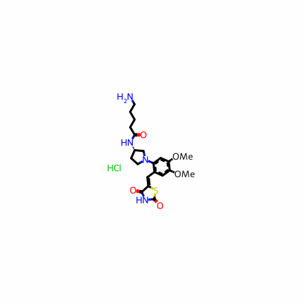 COc1cc(/C=C2\SC(=O)NC2=O)c(N2CC[C@H](NC(=O)CCCCN)C2)cc1OC.Cl